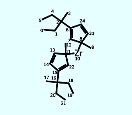 CCC(C)(CC)C1=C[C](C)([Zr][C]2(C)C=CC(C(C)(CC)CC)=C2)C=C1